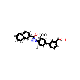 O=C(Nc1ccc(-c2cccc(CO)c2)cc1C(=O)[O-])c1ccc2ccccc2c1.[Li+]